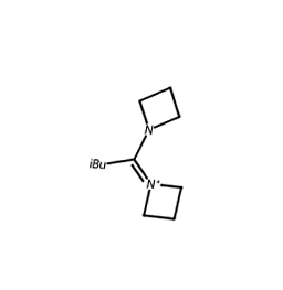 CCC(C)C(N1CCC1)=[N+]1CCC1